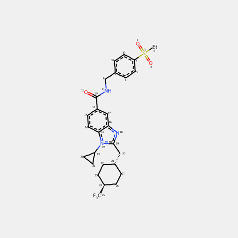 CCS(=O)(=O)c1ccc(CNC(=O)c2ccc3c(c2)nc(C[C@H]2CC[C@H](C(F)(F)F)CC2)n3C2CC2)cc1